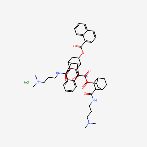 CN(C)CCCNC(=O)C1C2CCC(C(OC(=O)c3cccc4ccccc34)C2)C1C(=O)NC(=O)C1C2CCC(CC2OC(=O)c2cccc3ccccc23)C1C(=O)NCCCN(C)C.Cl